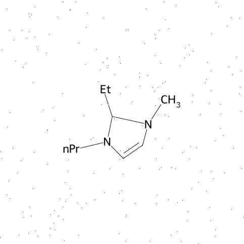 CCCN1C=CN(C)C1CC